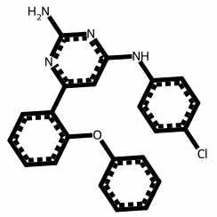 Nc1nc(Nc2ccc(Cl)cc2)cc(-c2ccccc2Oc2ccccc2)n1